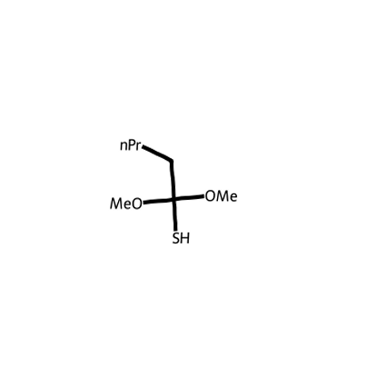 [CH2]CCCC(S)(OC)OC